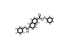 O=C(OCc1ccccc1)c1ccc2cc(NCc3ccccc3)ccc2c1